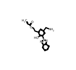 C=CC(=O)OCCc1cc(CN)cc(-n2nc3ccccc3n2)c1O